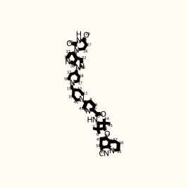 CC1(C)C(NC(=O)c2ccc(N3CCC(CN4CCC(n5ncc6c(N7CCC(=O)NC7=O)ccnc65)CC4)CC3)cn2)C(C)(C)C1Oc1ccc(C#N)c2ncccc12